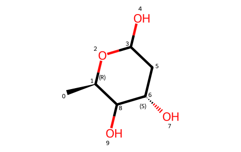 C[C@H]1OC(O)C[C@H](O)C1O